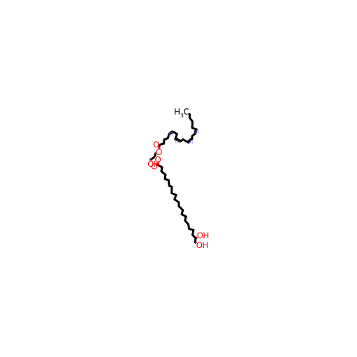 CCCCC/C=C\C/C=C\C/C=C\C/C=C\CCCC(=O)OCC(CO)OC(=O)CCCCCCCCCCCCCCCCCCCCC(O)CO